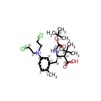 Cc1ccc(N(CCCl)CCCl)cc1C[C@@H](NC(=O)OC(C)(C)C)C(C(=O)O)C(C)(C)C